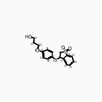 O=S1(=O)CC(Sc2ccc(OCCCO)cc2)c2ccccc21